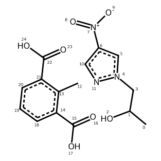 CC(O)Cn1cc([N+](=O)[O-])cn1.Cc1c(C(=O)O)cccc1C(=O)O